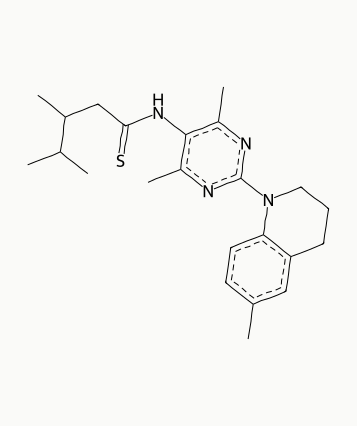 Cc1ccc2c(c1)CCCN2c1nc(C)c(NC(=S)CC(C)C(C)C)c(C)n1